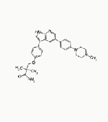 CN1CCN(c2ccc(-c3cnc4[nH]cc(-c5ccc(OCC(C)(C)C(N)=O)cc5)c4c3)cc2)CC1